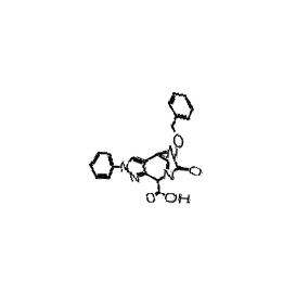 O=C(O)C1c2nn(-c3ccccc3)cc2C2CN1C(=O)N2OCc1ccccc1